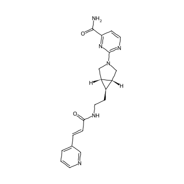 NC(=O)c1ccnc(N2C[C@@H]3[C@@H](CCNC(=O)/C=C/c4cccnc4)[C@@H]3C2)n1